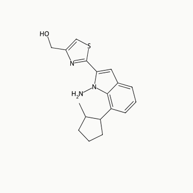 CC1CCCC1c1cccc2cc(-c3nc(CO)cs3)n(N)c12